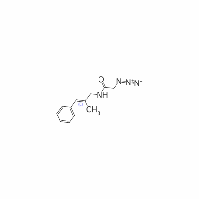 C/C(=C\c1ccccc1)CNC(=O)CN=[N+]=[N-]